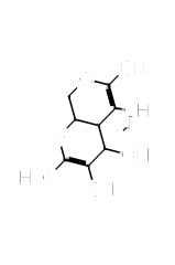 CC1=C(C)C(O)[C@]2(CF)C(C)=C(C)OCC2O1